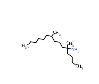 CCCCCCC(C)CCCC(C)(N)CCCC